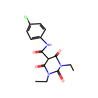 CCN1C(=O)C(C(=O)Nc2ccc(Cl)cc2)C(=O)N(CC)C1=O